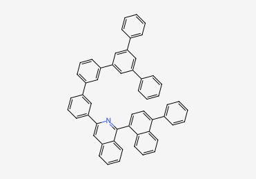 c1ccc(-c2cc(-c3ccccc3)cc(-c3cccc(-c4cccc(-c5cc6ccccc6c(-c6ccc(-c7ccccc7)c7ccccc67)n5)c4)c3)c2)cc1